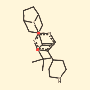 CC(C)(C)OC(=O)N1CC2CCC(C1)N2c1ncc(C2CCNCC2)cn1